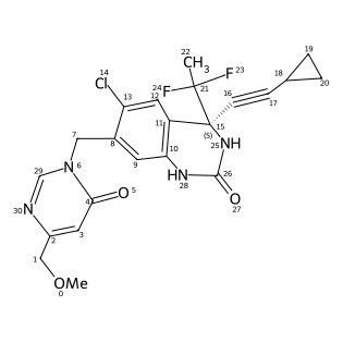 COCc1cc(=O)n(Cc2cc3c(cc2Cl)[C@@](C#CC2CC2)(C(C)(F)F)NC(=O)N3)cn1